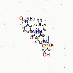 CC(C)(C)N1C(=O)Cc2ccc(NC(=O)c3ccc(NS(=O)(=O)CCO)cc3N3CCC4(CC3)CC4)cc21